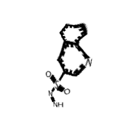 N=NS(=O)(=O)c1cnc2ccccc2c1